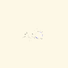 C=C1S/C(NC(=O)Nc2cc(C)cc(Br)c2)=N\CC(C)/C=C\C(Cl)=C/C1C